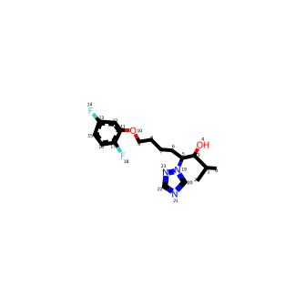 CC(C)C(O)C(CCCCOc1cc(F)ccc1F)n1cncn1